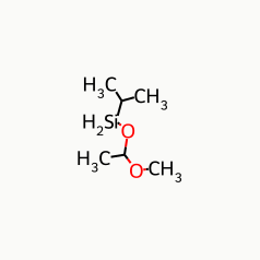 COC(C)O[SiH2]C(C)C